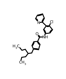 CCCC(CCC)Cc1ccc(C(=O)Nc2ccc(Cl)c(-c3ccccn3)c2)cc1